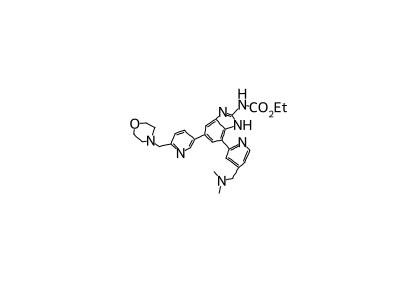 CCOC(=O)Nc1nc2cc(-c3ccc(CN4CCOCC4)nc3)cc(-c3cc(CN(C)C)ccn3)c2[nH]1